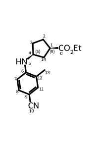 CCOC(=O)[C@@H]1CC[C@H](Nc2ccc(C#N)cc2C)C1